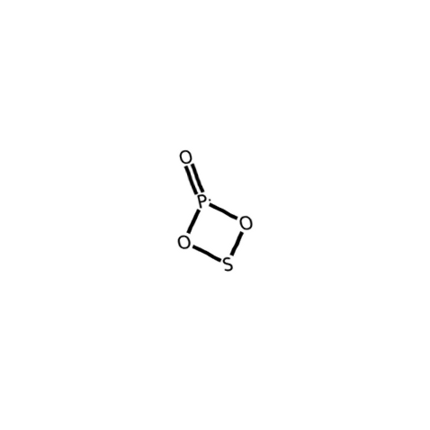 O=[P]1OSO1